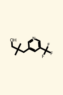 CC(C)(CO)Cc1cncc(C(F)(F)F)c1